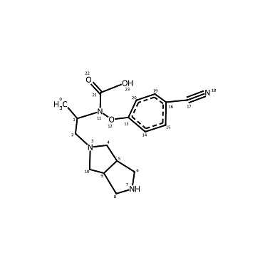 CC(CN1CC2CNCC2C1)N(Oc1ccc(C#N)cc1)C(=O)O